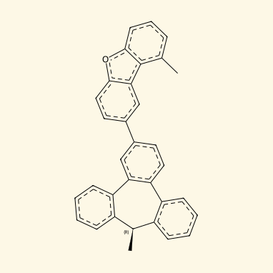 Cc1cccc2oc3ccc(-c4ccc5c(c4)-c4ccccc4[C@H](C)c4ccccc4-5)cc3c12